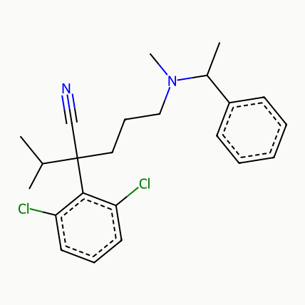 CC(c1ccccc1)N(C)CCCC(C#N)(c1c(Cl)cccc1Cl)C(C)C